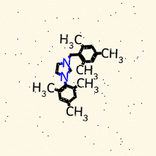 CC1=CC(C)=C(N2CCN(Cc3c(C)cc(C)cc3C)C2)C(C)C1